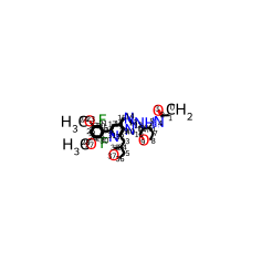 C=CC(=O)/N=C/[C@H]1CCOC[C@H]1Nc1ncc2cc(-c3c(F)c(OC)cc(OC)c3F)nc(CC3CCOC3)c2n1